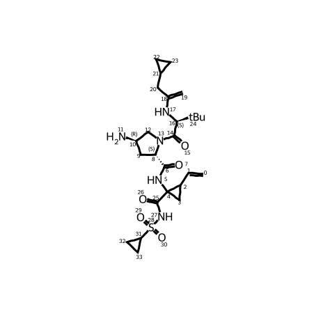 C=CC1CC1(NC(=O)[C@@H]1C[C@@H](N)CN1C(=O)[C@@H](NC(=C)CC1CC1)C(C)(C)C)C(=O)NS(=O)(=O)C1CC1